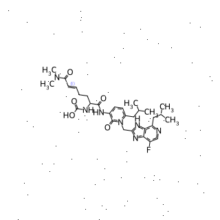 CC(C)Cc1ncc(F)c2nc(Cn3c(CC(C)C)ccc(NC(=O)C(CC/C=C/C(=O)N(C)C)NC(=O)O)c3=O)[nH]c12